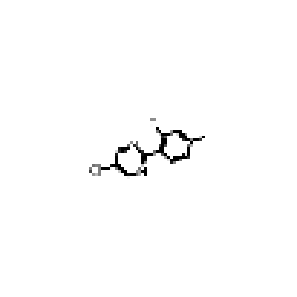 Cc1ccc(-c2ncc(Cl)cn2)c(F)c1